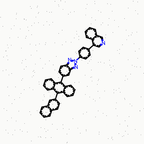 c1ccc2cc(-c3c4ccccc4c(-c4ccc5nn(-c6ccc(-c7cncc8ccccc78)cc6)nc5c4)c4ccccc34)ccc2c1